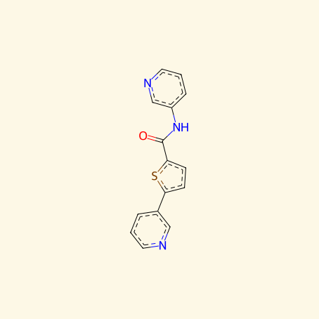 O=C(Nc1cccnc1)c1ccc(-c2cccnc2)s1